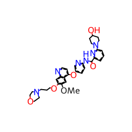 COc1cc2c(Oc3ccc(NC(=O)c4cccc(N5CCC(O)CC5)n4)nc3)ccnc2cc1OCCCN1CCOCC1